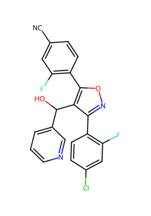 N#Cc1ccc(-c2onc(-c3ccc(Cl)cc3F)c2C(O)c2cccnc2)c(F)c1